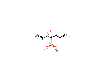 C=CCC(C(O)C=C)=S(=O)=O